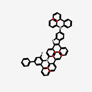 Fc1cc(-c2ccccc2)cc(-c2ccccc2)c1N(c1ccc2c(c1)c1ccccc1c1c3ccc(N(c4ccccc4)c4ccccc4-c4ccccc4)cc3sc21)c1ccccc1-c1ccccc1